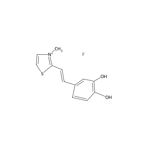 C[n+]1ccsc1/C=C/c1ccc(O)c(O)c1.[I-]